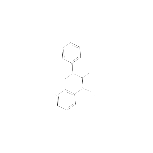 CC(N(C)c1ccccc1)N(I)c1ccccc1